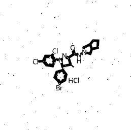 C[C@@H]1C(C(=O)NN2CC3CCCC3C2)=NN(c2ccc(Cl)cc2Cl)[C@@H]1c1ccc(Br)cc1.Cl